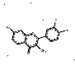 Cc1c(-c2ccc(O)c(F)c2)oc2cc(O)ccc2c1=O